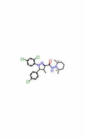 CC1C(C(=O)NN2[C@H](C)CCC[C@@H]2C)=NN(c2ccc(Cl)cc2Cl)C1c1ccc(Cl)cc1